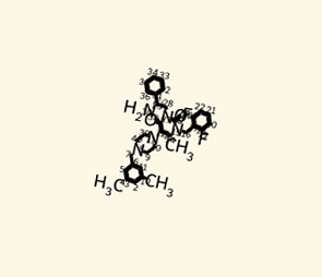 Cc1cc(C)cc(CN2CCN(c3c(C)n(Cc4c(F)cccc4F)c(=O)n(C[C@@H](N)c4ccccc4)c3=O)CC2)c1